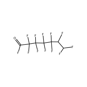 O=C(F)C(F)(F)C(F)(F)C(F)(F)C(F)(F)C(F)C(F)F